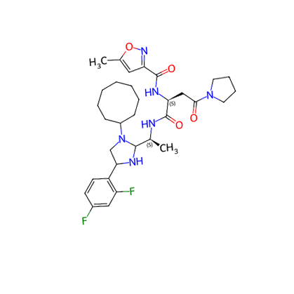 Cc1cc(C(=O)N[C@@H](CC(=O)N2CCCC2)C(=O)N[C@@H](C)C2NC(c3ccc(F)cc3F)CN2C2CCCCCCC2)no1